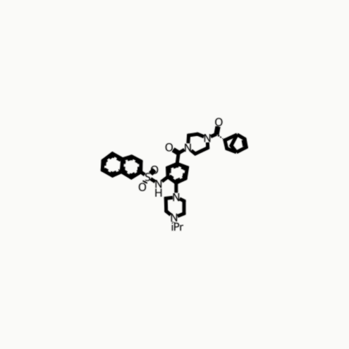 CC(C)N1CCN(c2ccc(C(=O)N3CCN(C(=O)[C@H]4CC5C=CC4C5)CC3)cc2NS(=O)(=O)c2ccc3ccccc3c2)CC1